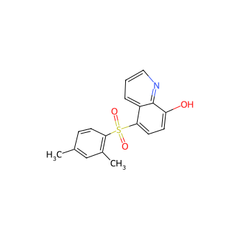 Cc1ccc(S(=O)(=O)c2ccc(O)c3ncccc23)c(C)c1